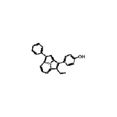 CCc1c(-c2ccc(O)cc2)c2cc(-c3ccccc3)c3cccc1n32